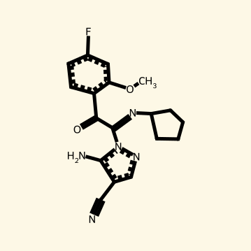 COc1cc(F)ccc1C(=O)/C(=N/C1CCCC1)n1ncc(C#N)c1N